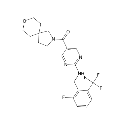 O=C(c1cnc(NCc2c(F)cccc2C(F)(F)F)nc1)N1CCC2(CCOCC2)C1